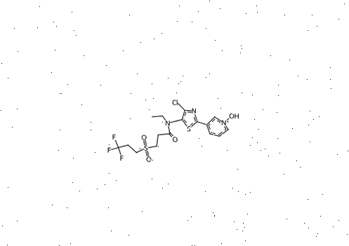 CCN(C(=O)CCS(=O)(=O)CCC(F)(F)F)c1sc(-c2ccc[n+](O)c2)nc1Cl